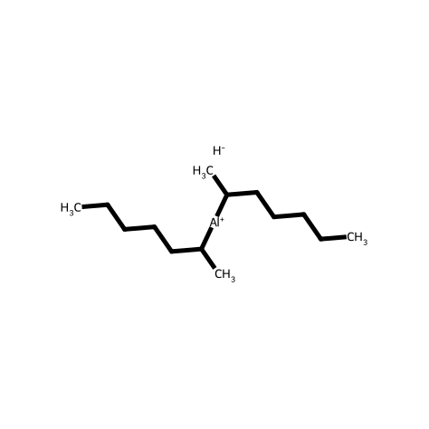 CCCCC[CH](C)[Al+][CH](C)CCCCC.[H-]